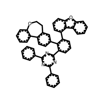 c1ccc(-c2nc(-c3ccccc3)nc(-c3cccc(-c4cccc5oc6ccccc6c45)c3-c3ccc4c(c3)CCOc3ccccc3-4)n2)cc1